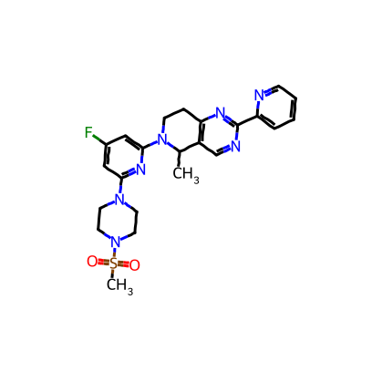 CC1c2cnc(-c3ccccn3)nc2CCN1c1cc(F)cc(N2CCN(S(C)(=O)=O)CC2)n1